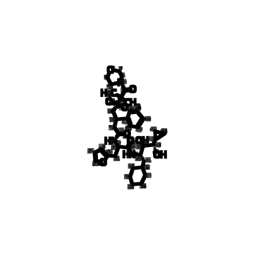 CC(C)(C(=O)N1CCOCC1)S(=O)(=O)CC(CC(=O)NC(Cc1ccco1)C(=O)N[C@@H](CC1CCCCC1)[C@@H](O)[C@@H](O)C1CC1)c1ccccc1